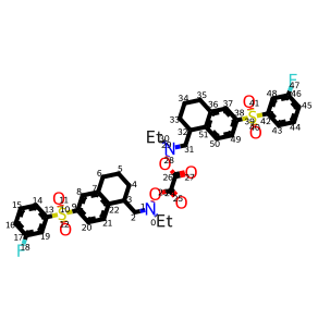 CCN(CC1CCCc2cc(S(=O)(=O)c3cccc(F)c3)ccc21)OC(=O)C(=O)ON(CC)CC1CCCc2cc(S(=O)(=O)c3cccc(F)c3)ccc21